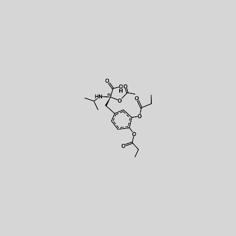 CCC(=O)Oc1ccc(C[C@](NC(C)C)(OC(C)=O)C(=O)O)cc1OC(=O)CC